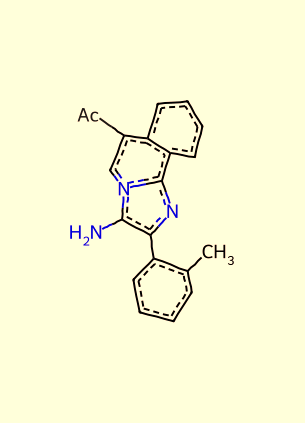 CC(=O)c1cn2c(N)c(-c3ccccc3C)nc2c2ccccc12